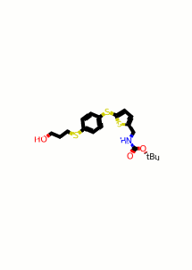 CC(C)(C)OC(=O)NCc1ccc(Sc2ccc(SCCCO)cc2)s1